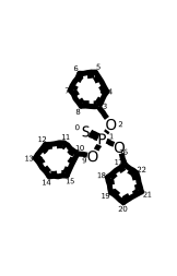 S=P(Oc1ccccc1)(Oc1ccccc1)Oc1ccccc1